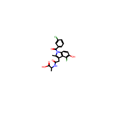 Cc1c(CC(=O)NC(C)C(=O)O)c2c(F)c(O)ccc2n1C(=O)c1cccc(Cl)c1